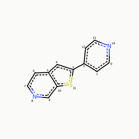 c1cc(-c2cc3ccncc3s2)ccn1